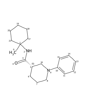 CC1(NC(=O)[C@H]2CCCN(c3ccccc3)C2)CCCCC1